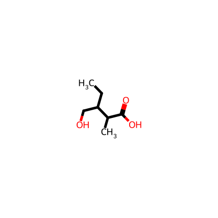 CCC(CO)C(C)C(=O)O